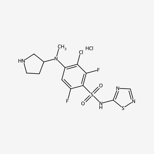 CN(c1cc(F)c(S(=O)(=O)Nc2ncns2)c(F)c1Cl)C1CCNC1.Cl